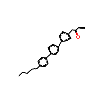 C=CC(=O)Cc1ccc(-c2ccc(-c3ccc(CCCCC)cc3)cc2)cc1